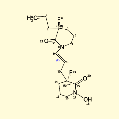 C=CC[C@]1(F)CCCN(/C=C/C[C@]2(F)CCCN(O)C2=O)C1=O